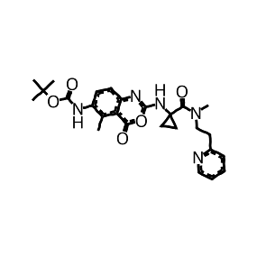 Cc1c(NC(=O)OC(C)(C)C)ccc2nc(NC3(C(=O)N(C)CCc4ccccn4)CC3)oc(=O)c12